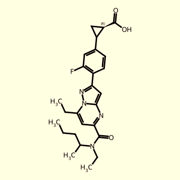 CCCC(C)N(CC)C(=O)c1cc(CC)n2nc(-c3ccc(C4C[C@H]4C(=O)O)cc3F)cc2n1